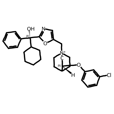 O[C@](c1ccccc1)(c1ncc(C[N+]23CCC(CC2)[C@@H](Oc2cccc(Cl)c2)C3)o1)C1CCCCC1